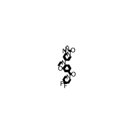 Cn1nc2cc(N3CCOc4cc(C(=O)N5CCC(F)(F)CC5)ccc43)ccn2c1=O